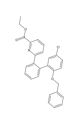 CCOC(=O)c1cccc(-c2ccccc2-c2cc(Cl)ccc2OCc2ccccc2)n1